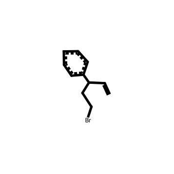 C=CC(CCBr)c1ccccc1